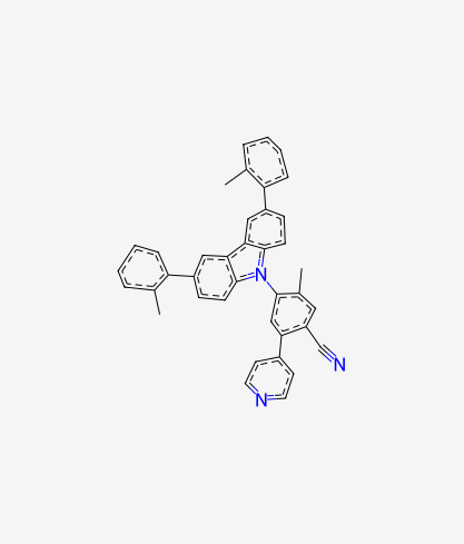 Cc1ccccc1-c1ccc2c(c1)c1cc(-c3ccccc3C)ccc1n2-c1cc(-c2ccncc2)c(C#N)cc1C